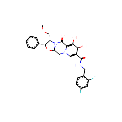 COC[C@H]1[C@H](c2ccccc2)OC2CN3C=C(C(=O)NCc4ccc(F)cc4F)C(O)C(O)=C3C(=O)N21